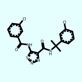 CC(C)(NC(=O)c1nnsc1NC(=O)c1cccc(Cl)c1)c1cccc(Cl)c1